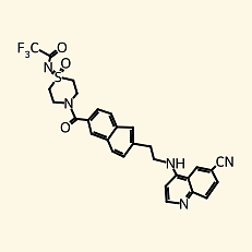 N#Cc1ccc2nccc(NCCc3ccc4cc(C(=O)N5CCS(=O)(=NC(=O)C(F)(F)F)CC5)ccc4c3)c2c1